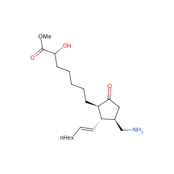 CCCCCCC=C[C@H]1[C@H](CN)CC(=O)[C@@H]1CCCCCC(O)C(=O)OC